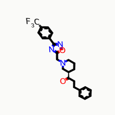 O=C(CCc1ccccc1)[C@@H]1CCCN(Cc2nc(-c3ccc(C(F)(F)F)cc3)no2)C1